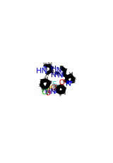 O=S(=O)(Nc1cccc(Oc2ncccc2-c2ccnc(N[C@H]3CCCNC3)n2)c1F)c1ccccc1Cl